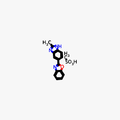 CS(=O)(=O)O.Cc1nc2cc(-c3nc4ccccc4o3)ccc2[nH]1